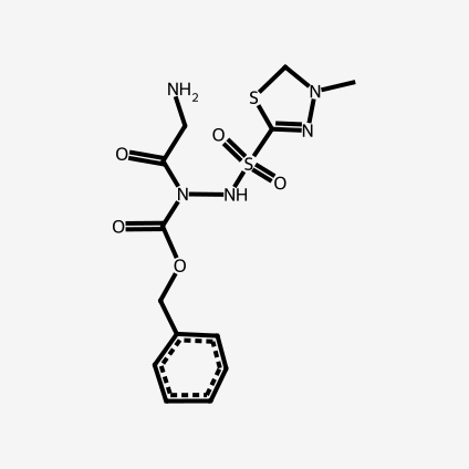 CN1CSC(S(=O)(=O)NN(C(=O)CN)C(=O)OCc2ccccc2)=N1